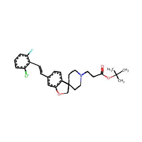 CC(C)(C)OC(=O)CCN1CCC2(CC1)COc1cc(/C=C/c3c(F)cccc3Cl)ccc12